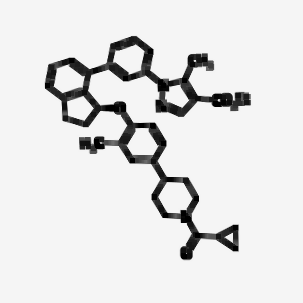 CCOC(=O)c1cnn(-c2cccc(-c3cccc4c3[C@@H](Oc3ccc(C5CCN(C(=O)C6CC6)CC5)cc3C)CC4)c2)c1C